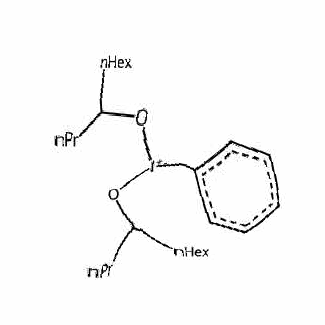 CCCCCCC(CCC)O[I+](OC(CCC)CCCCCC)c1ccccc1